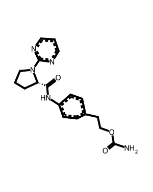 NC(=O)OCCc1ccc(NC(=O)[C@@H]2CCCN2c2ncccn2)cc1